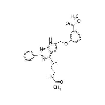 COC(=O)c1cccc(OCc2cc3c(NCCNC(C)=O)nc(-c4ccccc4)nc3[nH]2)c1